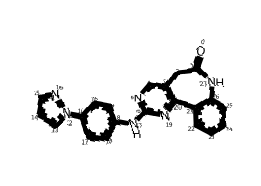 O=C1Cc2cnc(Nc3ccc(-n4cccn4)cc3)nc2-c2ccccc2N1